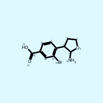 NC1OCCC1c1ccc(C(=O)O)cc1Br